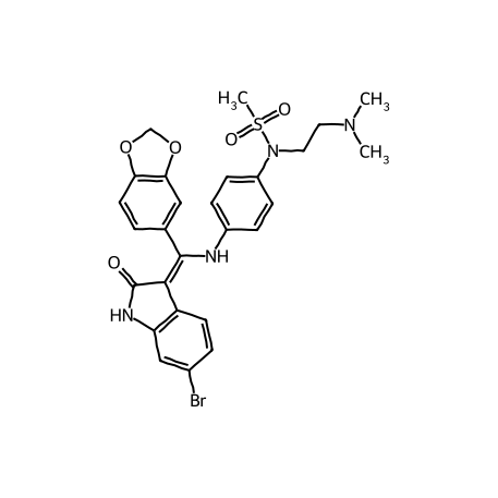 CN(C)CCN(c1ccc(NC(=C2C(=O)Nc3cc(Br)ccc32)c2ccc3c(c2)OCO3)cc1)S(C)(=O)=O